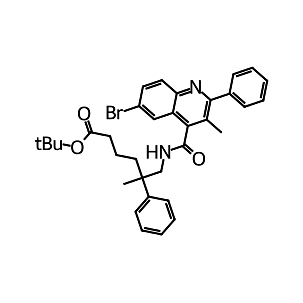 Cc1c(-c2ccccc2)nc2ccc(Br)cc2c1C(=O)NCC(C)(CCCC(=O)OC(C)(C)C)c1ccccc1